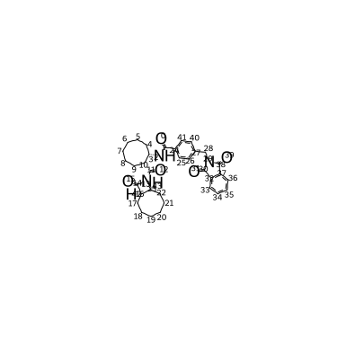 O=C(N[C@H]1CCCCCC[C@H]1C(=O)N1C(=O)[C@@H]2CCCCCC[C@@H]21)c1ccc(CN2C(=O)c3ccccc3C2=O)cc1